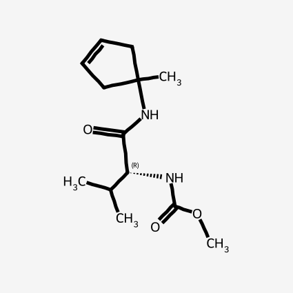 COC(=O)N[C@@H](C(=O)NC1(C)CC=CC1)C(C)C